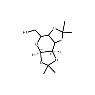 CC1(C)OC2C(CS)O[C@@H]3OC(C)(C)O[C@@H]3C2O1